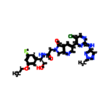 CCOc1cc(F)cc([C@@H](CO)NC(=O)CN2Cc3ncc(-c4nc(Nc5cnn(C)n5)ncc4Cl)cc3C2=O)c1